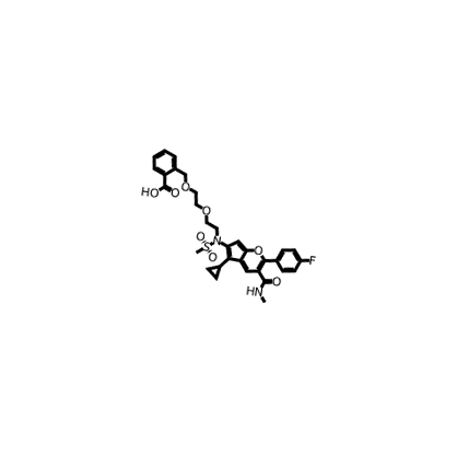 CNC(=O)c1cc2c(C3CC3)c(N(CCOCCOCc3ccccc3C(=O)O)S(C)(=O)=O)cc-2oc1-c1ccc(F)cc1